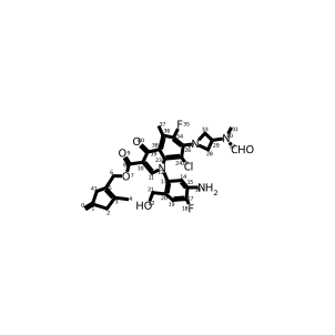 C=C1CC(C)=C(COC(=O)c2cn(-c3cc(N)c(F)cc3CO)c3c(Cl)c(N4CC(N(C)C=O)C4)c(F)c(C)c3c2=O)C1